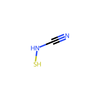 N#CNS